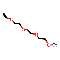 C=COCCOCCOCCOCC